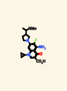 CNC(C)C1CCN(c2cc3c(c(N)c2F)c(=O)c(C(=O)O)cn3C2CC2)C1